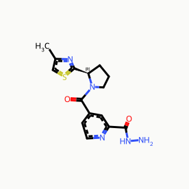 Cc1csc([C@H]2CCCN2C(=O)c2ccnc(C(=O)NN)c2)n1